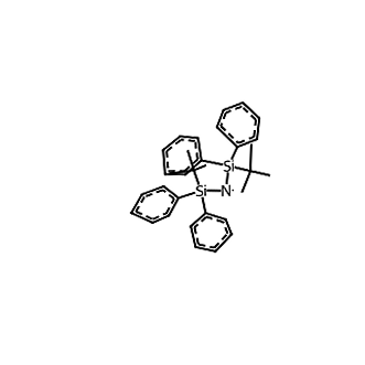 CC(C)(C)[Si]([N][Si](c1ccccc1)(c1ccccc1)C(C)(C)C)(c1ccccc1)c1ccccc1